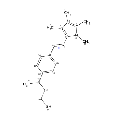 Cc1c(C)[n+](C)c(/C=C/c2ccc(N(C)CCS)cc2)n1C